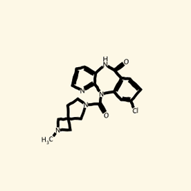 CN1CC2(CCN(C(=O)N3c4cc(Cl)ccc4C(=O)Nc4cccnc43)C2)C1